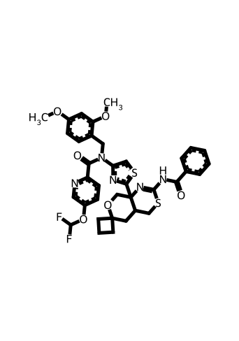 COc1ccc(CN(C(=O)c2ccc(OC(F)F)cn2)c2csc(C34COC5(CCC5)CC3CSC(NC(=O)c3ccccc3)=N4)n2)c(OC)c1